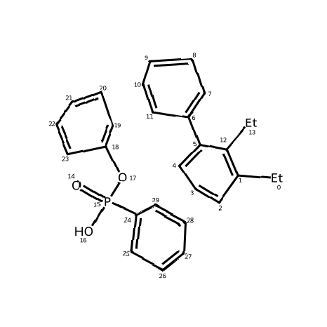 CCc1cccc(-c2ccccc2)c1CC.O=P(O)(Oc1ccccc1)c1ccccc1